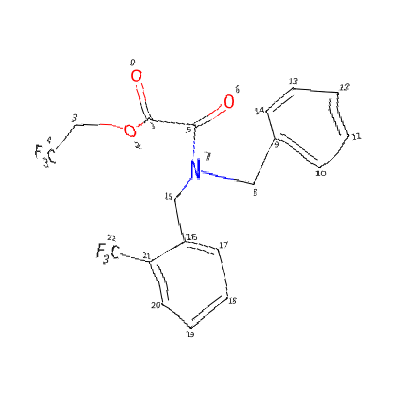 O=C(OCC(F)(F)F)C(=O)N(Cc1ccccc1)Cc1ccccc1C(F)(F)F